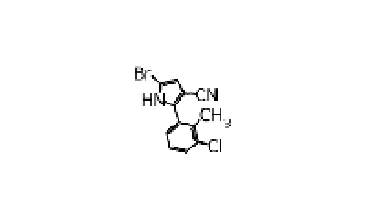 Cc1c(Cl)cccc1-c1[nH]c(Br)cc1C#N